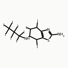 Nc1nc2c(s1)C(I)C(NC(I)(I)C(I)(I)C(I)(I)I)C(I)C2I